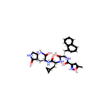 Cc1cc(C(=O)N[C@@H](Cc2cccc3ccccc23)C(=O)N[C@@H](CC2CC2)C(=O)N[C@@H](C[C@@H]2CCNC2=O)C(N)=O)no1